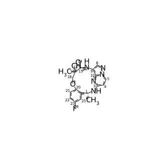 C[C@H]1Nc2ccn3ncc(c3n2)NC(=O)C(C)(C)COc2ccc(F)cc21